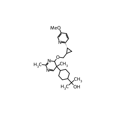 COc1ccc([C@@H]2CC2COC2N=C(C)N=CC2(C)C2CCC(C(C)(C)O)CC2)nc1